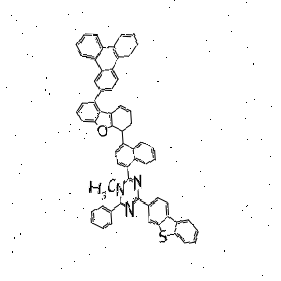 CN1C(c2ccc(C3CC=Cc4c3oc3cccc(-c5ccc6c7c(c8ccccc8c6c5)C=CCC7)c43)c3ccccc23)=NC(c2ccc3c(c2)sc2ccccc23)=NC1c1ccccc1